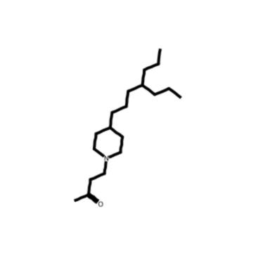 CCCC(CCC)CCCC1CCN(CCC(C)=O)CC1